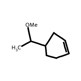 COC(C)C1CC=CCC1